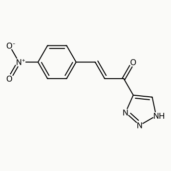 O=C(C=Cc1ccc([N+](=O)[O-])cc1)c1c[nH]nn1